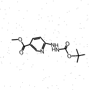 COC(=O)c1ccc(NNC(=O)OC(C)(C)C)nc1